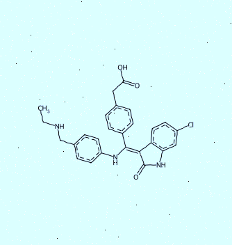 CCNCc1ccc(N/C(=C2\C(=O)Nc3cc(Cl)ccc32)c2ccc(CC(=O)O)cc2)cc1